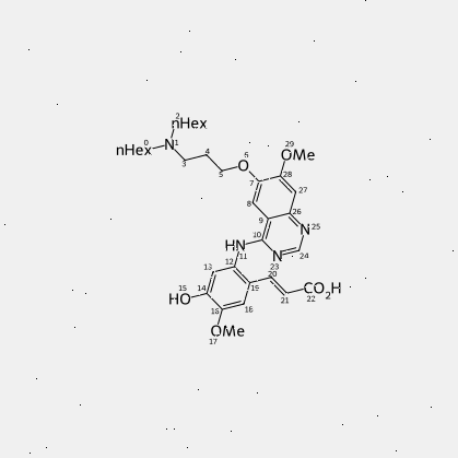 CCCCCCN(CCCCCC)CCCOc1cc2c(Nc3cc(O)c(OC)cc3/C=C/C(=O)O)ncnc2cc1OC